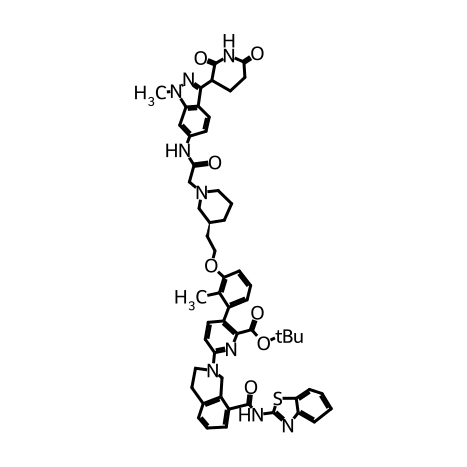 Cc1c(OCC[C@@H]2CCCN(CC(=O)Nc3ccc4c(C5CCC(=O)NC5=O)nn(C)c4c3)C2)cccc1-c1ccc(N2CCc3cccc(C(=O)Nc4nc5ccccc5s4)c3C2)nc1C(=O)OC(C)(C)C